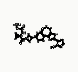 CC(C)n1ncnc1-c1nc2c(s1)CCOc1cc(C3CN(C(=O)C4(NC(=O)OC(C)(C)C)CC4)C3)ccc1-2